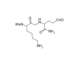 CNC(CCCCN)C(=O)CNC(CCC=O)C(N)=O